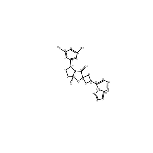 O=C1N2[C@@H](CC[C@H]2c2cc(F)cc(F)c2)OC12CN(c1ccnc3ccnn13)C2